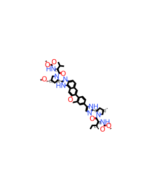 CC[C@H](C)[C@H](NC(=O)OC)C(=O)N1C[C@@H](C)C[C@H]1c1ncc(-c2ccc3c(c2)COc2cc4c(ccc5nc([C@@H]6C[C@H](COC)CN6C(=O)[C@@H](NC(=O)OC)C(C)C)[nH]c54)cc2-3)[nH]1